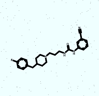 N#Cc1cccc(NC(=O)NCCCN2CCC(Cc3ccc(F)cc3)CC2)c1